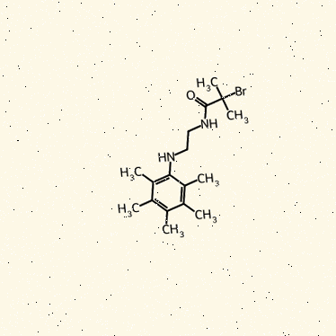 Cc1c(C)c(C)c(NCCNC(=O)C(C)(C)Br)c(C)c1C